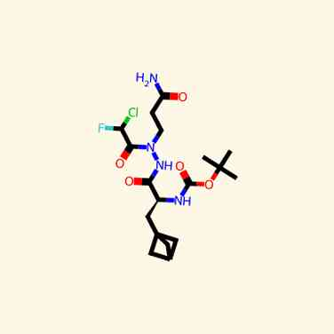 CC(C)(C)OC(=O)N[C@@H](CC12CC(C1)C2)C(=O)NN(CCC(N)=O)C(=O)C(F)Cl